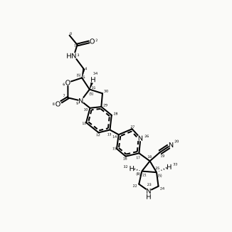 CC(=O)NC[C@@H]1OC(=O)N2c3ccc(-c4ccc(C5(C#N)[C@@H]6CNC[C@@H]65)nc4)cc3C[C@@H]12